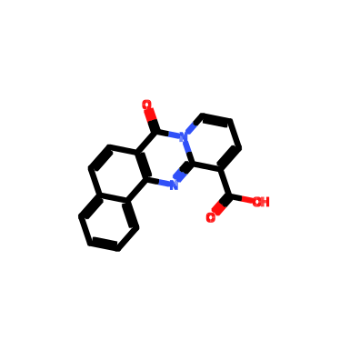 O=C(O)c1cccn2c(=O)c3ccc4ccccc4c3nc12